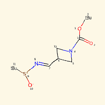 CC(C)(C)OC(=O)N1CC(C=N[S+]([O-])C(C)(C)C)C1